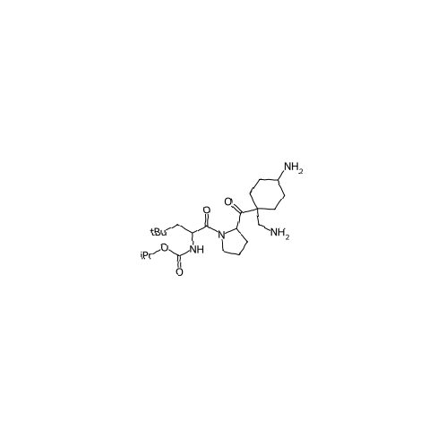 CC(C)OC(=O)NC(CC(C)(C)C)C(=O)N1CCCC1C(=O)C1(CN)CCC(N)CC1